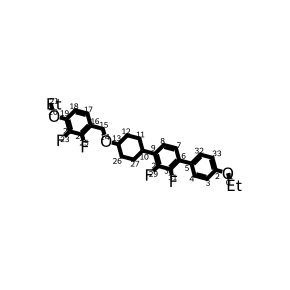 CCOc1ccc(-c2ccc(C3CCC(OCc4ccc(OCC)c(F)c4F)CC3)c(F)c2F)cc1